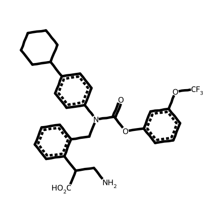 NCC(C(=O)O)c1ccccc1CN(C(=O)Oc1cccc(OC(F)(F)F)c1)c1ccc(C2CCCCC2)cc1